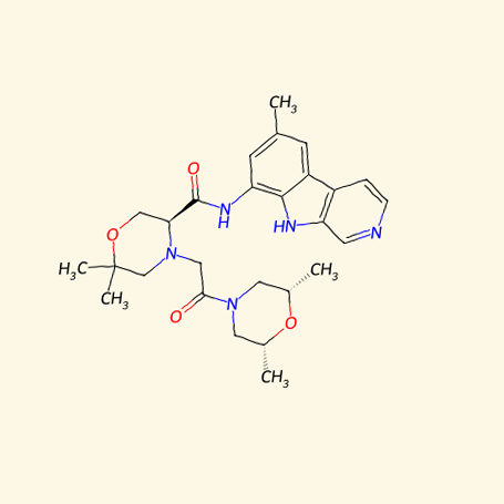 Cc1cc(NC(=O)[C@@H]2COC(C)(C)CN2CC(=O)N2C[C@@H](C)O[C@@H](C)C2)c2[nH]c3cnccc3c2c1